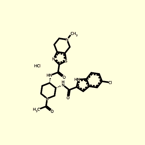 CC(=O)N1CC[C@H](NC(=O)c2nc3c(s2)CN(C)CC3)[C@H](NC(=O)c2cc3cc(Cl)ccc3[nH]2)C1.Cl